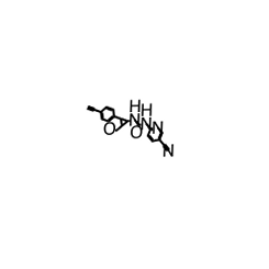 C#Cc1ccc2c(c1)OCC1C(NC(=O)Nc3ccc(C#N)cn3)C21